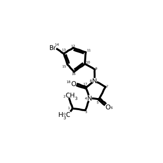 CC(C)CN1C(=O)CN(Cc2ccc(Br)cc2)C1=O